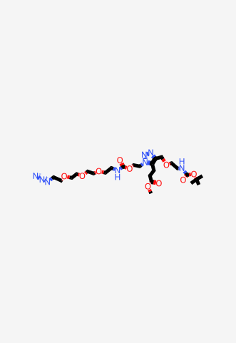 COC(=O)CCc1c(COCCNC(=O)OC(C)(C)C)nnn1CCOC(=O)NCCOCCOCCOCCN=[N+]=[N-]